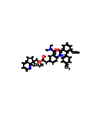 CCOC(=O)C1(COC(=O)Cc2ccc(NC(=O)c3cccc(OC)c3-c3ccc(C(F)(F)F)cc3)c(C(=O)N(C)C)c2)CCc2cccnc21